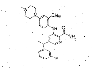 COc1cc(N2CCN(C)CC2)ccc1Nc1cc(C(C)c2cccc(F)c2)cnc1C(N)=O